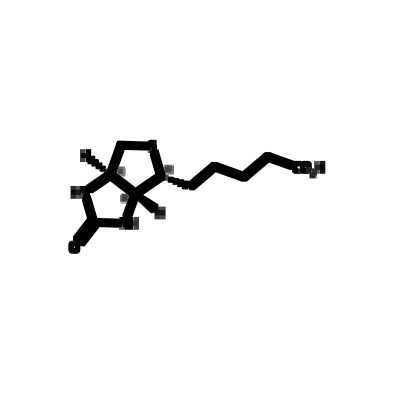 O=C(O)CCCC[C@H]1SC[C@@H]2NC(=O)N[C@H]21